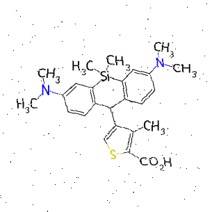 Cc1c(C2c3ccc(N(C)C)cc3[Si](C)(C)c3cc(N(C)C)ccc32)csc1C(=O)O